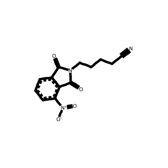 N#CCCCCN1C(=O)c2cccc([N+](=O)[O-])c2C1=O